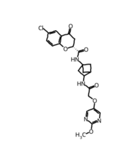 COc1ncc(OCC(=O)NC2CC3(NC(=O)[C@H]4CC(=O)c5cc(Cl)ccc5O4)CC2C3)cn1